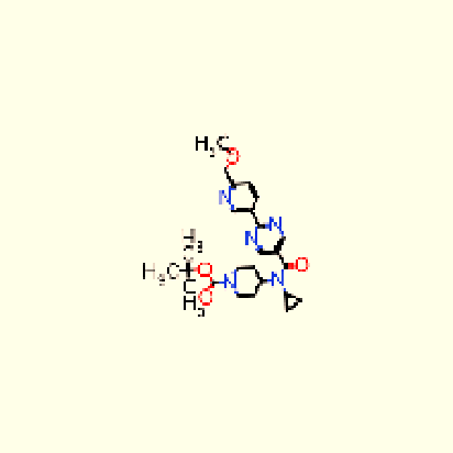 COCc1ccc(-c2ncc(C(=O)N(C3CC3)C3CCN(C(=O)OC(C)(C)C)CC3)cn2)cn1